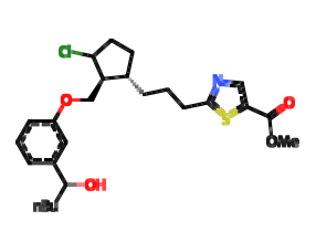 CCCCC(O)c1cccc(OC[C@H]2C(Cl)CC[C@@H]2CCCc2ncc(C(=O)OC)s2)c1